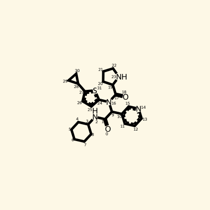 O=C(NC1CCCCC1)C(c1cccnc1)N(C(=O)C1CCCN1)c1ccc(C2CC2)s1